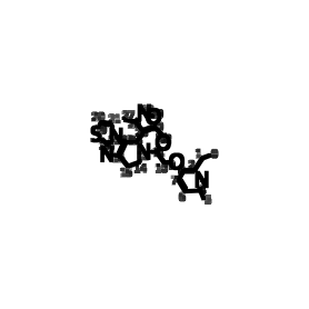 CCc1nc(C)ccc1OCC(=O)N1CCc2nc3sccn3c2C1c1c(C)noc1C